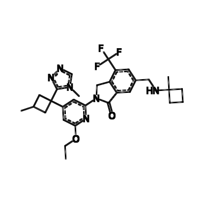 CCOc1cc(C2(c3nncn3C)CC(C)C2)cc(N2Cc3c(cc(CNC4(C)CCC4)cc3C(F)(F)F)C2=O)n1